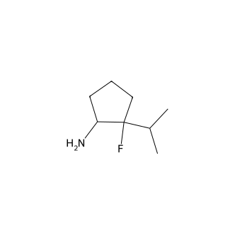 CC(C)C1(F)CCCC1N